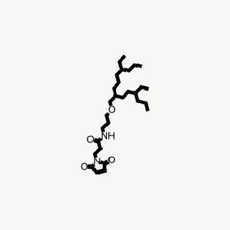 CCCC(CC)CCCC(CCC(CC)CCC)COCCCNC(=O)CCN1C(=O)C=CC1=O